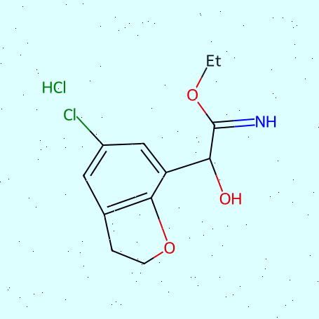 CCOC(=N)C(O)c1cc(Cl)cc2c1OCC2.Cl